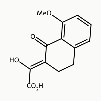 COc1cccc2c1C(=O)C(=C(O)C(=O)O)CC2